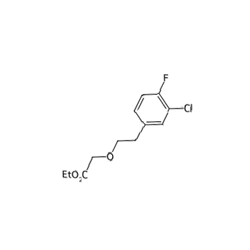 CCOC(=O)COCCc1ccc(F)c(Cl)c1